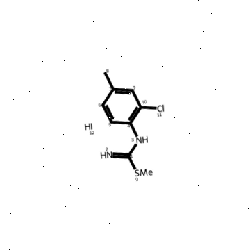 CSC(=N)Nc1ccc(C)cc1Cl.I